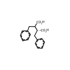 O=C(O)C(Cc1ccccc1)[C@@H](Cc1ccccc1)C(=O)O